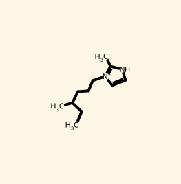 CCC(C)CCC[n+]1cc[nH]c1C